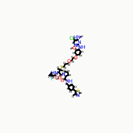 CNc1nc(NC2=C(OC)CC(OCCOCCCSC(C)(C)C(NC(=O)C3(F)CC3)C(=O)N3CCCC3C(=O)NCc3ccc(-c4scnc4C)cc3)C=C2)ncc1Cl